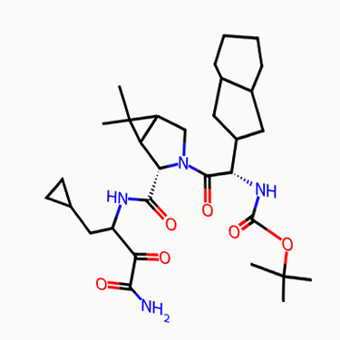 CC(C)(C)OC(=O)N[C@H](C(=O)N1CC2C([C@H]1C(=O)NC(CC1CC1)C(=O)C(N)=O)C2(C)C)C1CC2CCCCC2C1